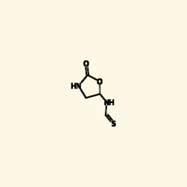 O=C1NCC(NC=S)O1